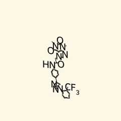 Cn1c(=O)c2c(ncn2CC(=O)Nc2ccc(-c3cn(-c4ccccc4C(F)(F)F)nn3)cc2)n(C)c1=O